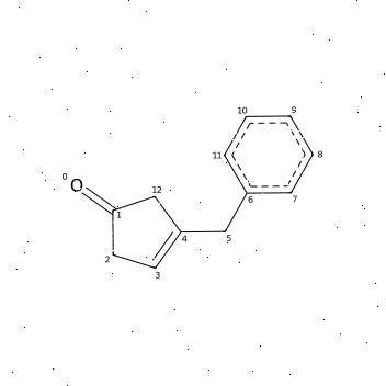 O=C1CC=C(Cc2ccccc2)C1